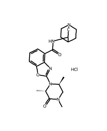 C[C@H]1CN(C)C(=O)[C@H](C)N1c1nc2c(C(=O)NC3CN4CCC3CC4)cccc2o1.Cl